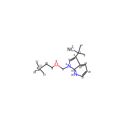 CC(C)(C#N)c1cn(COCC[Si](C)(C)C)c2ncccc12